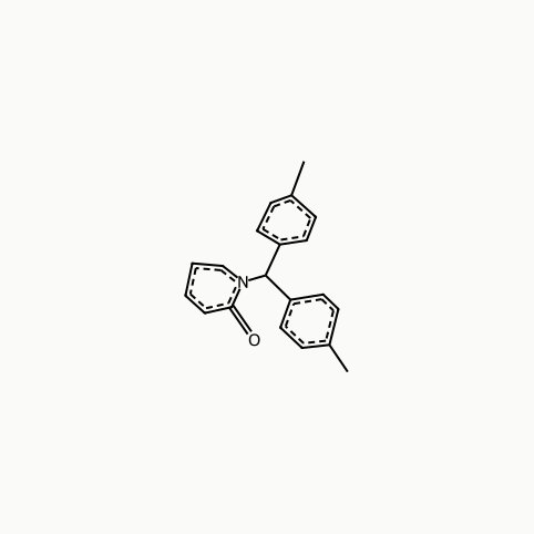 Cc1ccc(C(c2ccc(C)cc2)n2ccccc2=O)cc1